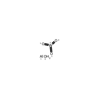 O.[Al].[O]=[W](=[O])=[O]